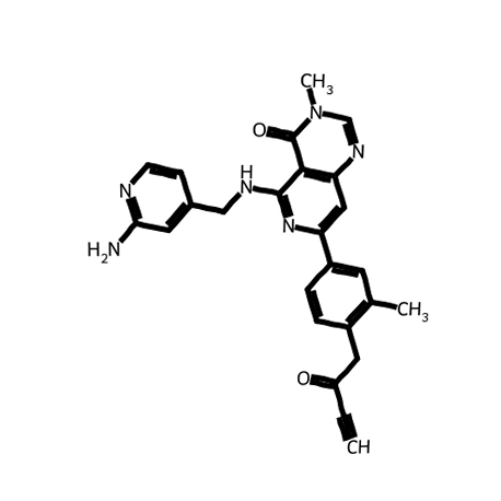 C#CC(=O)Cc1ccc(-c2cc3ncn(C)c(=O)c3c(NCc3ccnc(N)c3)n2)cc1C